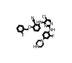 N#Cc1c(Nc2nc(Nc3ccc(N4CCNCC4)cc3F)ncc2Cl)cccc1OCc1ccccc1F